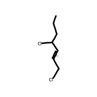 CCCC(Cl)/C=C/CCl